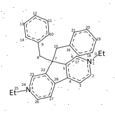 CC[n+]1ccc2c(c1)C(Cc1ccccc1)(Cc1ccccc1)c1c[n+](CC)ccc1-2